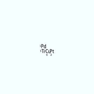 [Cu].[Pd].[Pt].[Ti]